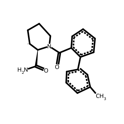 Cc1cccc(-c2ccccc2C(=O)N2CCC[CH][C@@H]2C(N)=O)c1